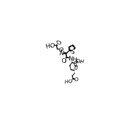 O=C(O)CC[C@@H]1CC[C@H](NC(=O)/C(=N/OCC(=O)O)c2cccs2)B(O)O1